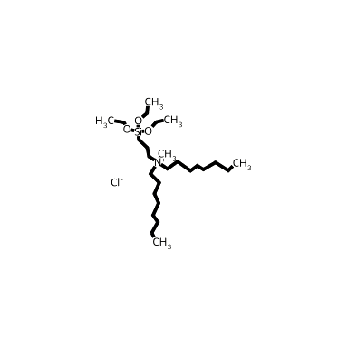 CCCCCCCC[N+](C)(CCCCCCCC)CCC[Si](OCC)(OCC)OCC.[Cl-]